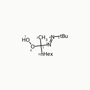 CCCCCCC(C)(N=NC(C)(C)C)OO